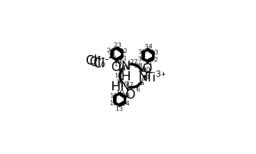 [Cl-].[Cl-].[Cl-].[Ti+3][N]1CCC(Oc2ccccc2)NCCC(Oc2ccccc2)NCCC1Oc1ccccc1